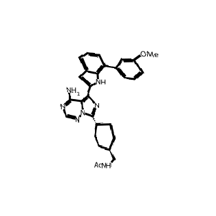 COc1cccc(-c2cccc3cc(-c4nc([C@H]5CC[C@H](CNC(C)=O)CC5)n5ncnc(N)c45)[nH]c23)c1